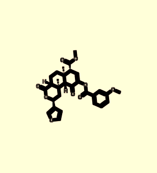 COC(=O)[C@@H]1C=C(OC(=O)c2cccc(OC)c2)C(=O)[C@H]2[C@@]1(C)CC[C@H]1C(=O)O[C@H](c3ccoc3)C[C@]21C